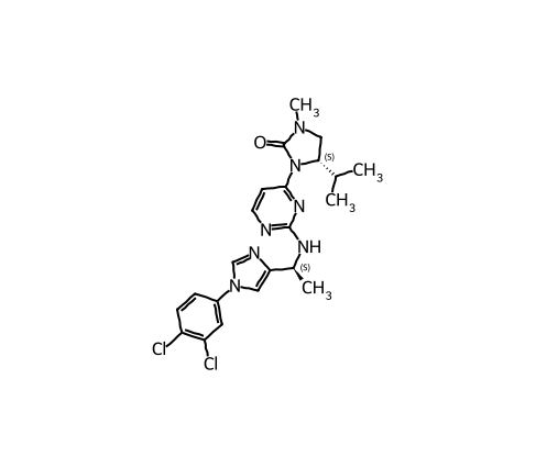 CC(C)[C@H]1CN(C)C(=O)N1c1ccnc(N[C@@H](C)c2cn(-c3ccc(Cl)c(Cl)c3)cn2)n1